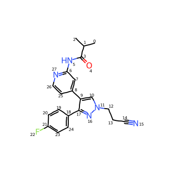 CC(C)C(=O)Nc1cc(-c2cn(CCC#N)nc2-c2ccc(F)cc2)ccn1